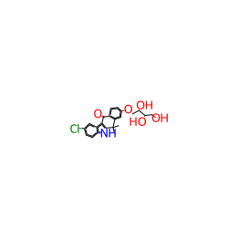 CC1(C)c2cc(OCC(O)C(O)CO)ccc2C(=O)c2c1[nH]c1ccc(Cl)cc21